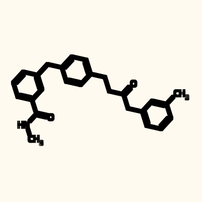 CNC(=O)c1cccc(Cc2ccc(CCC(=O)Cc3cccc(C)c3)cc2)c1